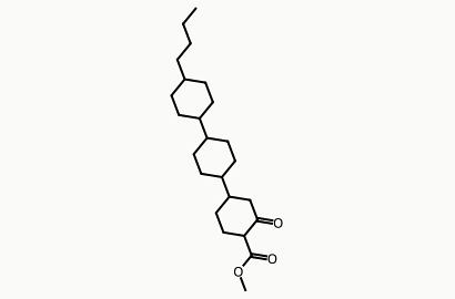 CCCCC1CCC(C2CCC(C3CCC(C(=O)OC)C(=O)C3)CC2)CC1